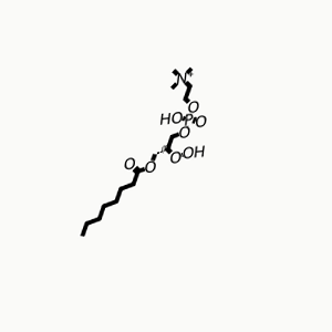 CCCCCCCC(=O)OC[C@H](COP(=O)(O)OCC[N+](C)(C)C)OO